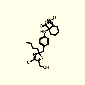 CCCCC1(Cc2ccc(NC3(C(=O)O)CCCCC3=S(=O)=O)cc2)N=C(Cl)C(CO)=N1